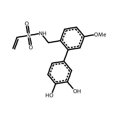 C=CS(=O)(=O)NCc1ccc(OC)cc1-c1ccc(O)c(O)c1